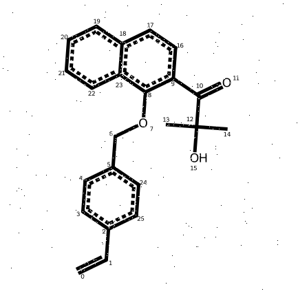 C=Cc1ccc(COc2c(C(=O)C(C)(C)O)ccc3ccccc23)cc1